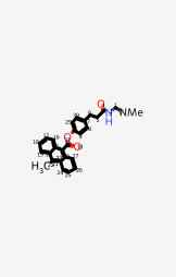 CNCNC(=O)CCc1ccc(OC(=O)c2c3ccccc3c(C)c3ccccc23)cc1